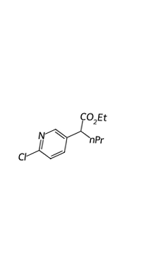 CCCC(C(=O)OCC)c1ccc(Cl)nc1